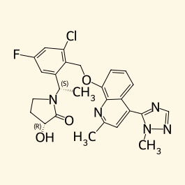 Cc1cc(-c2ncnn2C)c2cccc(OCc3c(Cl)cc(F)cc3[C@H](C)N3CC[C@@H](O)C3=O)c2n1